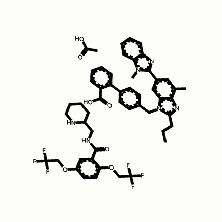 CC(=O)O.CCCc1nc2c(C)cc(-c3nc4ccccc4n3C)cc2n1Cc1ccc(-c2ccccc2C(=O)O)cc1.O=C(NCC1CCCCN1)c1cc(OCC(F)(F)F)ccc1OCC(F)(F)F